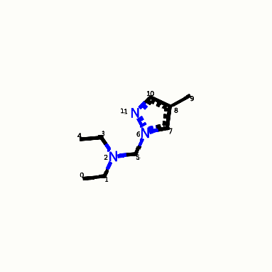 CCN(CC)Cn1cc(C)cn1